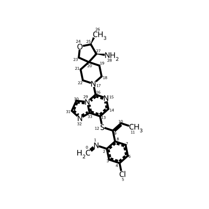 C=Nc1cc(Cl)ccc1/C(=C\C)Sc1cnc(N2CCC3(CC2)CO[C@@H](C)[C@H]3N)n2ccnc12